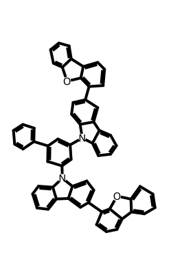 c1ccc(-c2cc(-n3c4ccccc4c4cc(-c5cccc6c5oc5ccccc56)ccc43)cc(-n3c4ccccc4c4cc(-c5cccc6c5oc5ccccc56)ccc43)c2)cc1